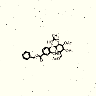 CC(=O)OC[C@H]1OC(Oc2ccc(C(=O)OCc3ccccc3)cc2C=O)[C@H](OC(C)O)[C@@H](OC(C)=O)[C@H]1OC(C)=O